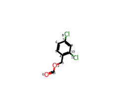 O=[C]OCc1ccc(Cl)cc1Cl